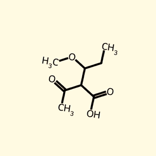 CCC(OC)C(C(C)=O)C(=O)O